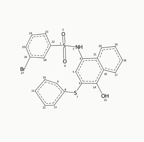 O=S(=O)(Nc1cc(Sc2ccccc2)c(O)c2ccccc12)c1cccc(Br)c1